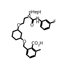 CCCCCCCN(CCOC1CCCC(OCc2cccc(C)c2C(=O)O)C1)C(=O)Nc1cccc(F)c1